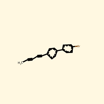 CC#CC#Cc1ccc(-c2ccc(Br)cc2)cc1